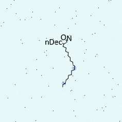 C/C=C/CCCCC/C=C\CCCCCCCCCC(CCCCCCCCCC)CC(=O)N(C)C